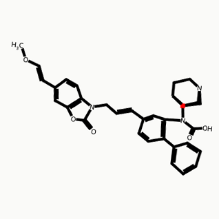 COC=Cc1ccc2c(c1)oc(=O)n2CC=Cc1ccc(-c2ccccc2)c(N(C(=O)O)C2CN3CCC2CC3)c1